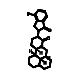 O=C1c2cccc(F)c2CN1C1CC[C@@H]2[C@H]3CCCN4CCC[C@@H](CN2C1=O)[C@@H]34